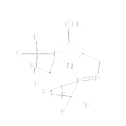 CC1=P2(C(F)(F)F)N3C1CP=P3(C(F)(F)F)C(F)(F)C2(F)F